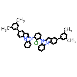 Cc1cc(C)cc(-c2ccc3c(c2)cc2n(-c4cccc(-n5c6ccccc6n6c7ccc(-c8cc(C)cc(C)c8)cc7cc56)c4Cl)c4ccccc4n32)c1